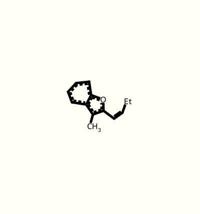 CC/C=C\c1oc2ccccc2c1C